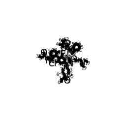 C=CC(=O)N1[C@H](C)CN(c2nc(OCCN(CC)CC)nc3c(F)c(-c4c(C)ccc5c4cnn5C(=O)C=C)c(Cl)cc23)C[C@@H]1C.CC1OB(n2ncc3ccccc32)OC1(C)C